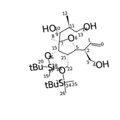 C=C[C@@H](CO)[C@H]1O[C@](C)([C@H](O)[C@@H](C)CO)[C@@H](O[Si](C)(C)C(C)(C)C)[C@H]1CO[Si](C)(C)C(C)(C)C